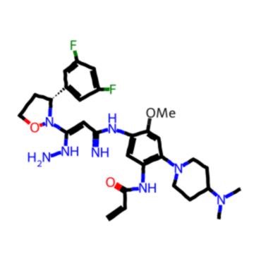 C=CC(=O)Nc1cc(NC(=N)/C=C(\NN)N2OCC[C@@H]2c2cc(F)cc(F)c2)c(OC)cc1N1CCC(N(C)C)CC1